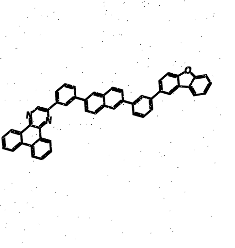 c1cc(-c2ccc3cc(-c4cccc(-c5cnc6c7ccccc7c7ccccc7c6n5)c4)ccc3c2)cc(-c2ccc3oc4ccccc4c3c2)c1